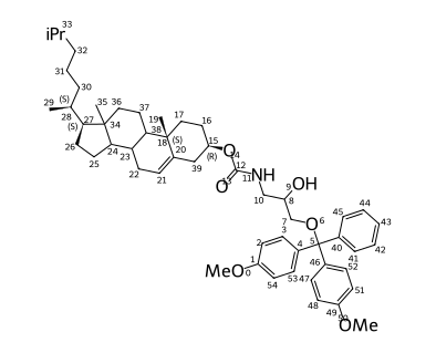 COc1ccc(C(OCC(O)CNC(=O)O[C@@H]2CC[C@]3(C)C(=CCC4C5CC[C@@H]([C@@H](C)CCCC(C)C)C5(C)CCC43)C2)(c2ccccc2)c2ccc(OC)cc2)cc1